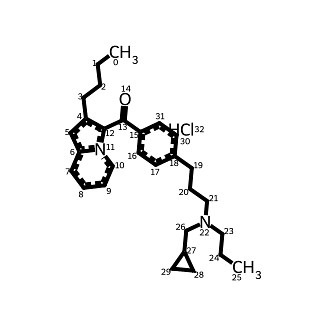 CCCCc1cc2ccccn2c1C(=O)c1ccc(CCCN(CCC)CC2CC2)cc1.Cl